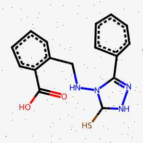 O=C(O)c1ccccc1CNN1C(c2ccccc2)=NNC1S